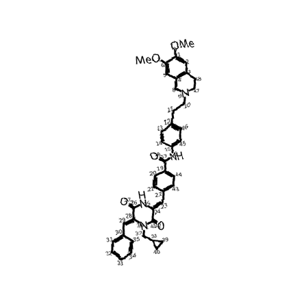 COc1cc2c(cc1OC)CN(CCc1ccc(NC(=O)c3ccc(C=c4[nH]c(=O)c(=Cc5ccccc5)n(CC5CC5)c4=O)cc3)cc1)CC2